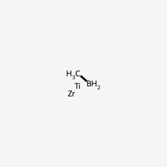 BC.[Ti].[Zr]